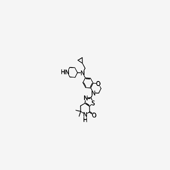 CC1(C)Cc2nc(N3CCOc4cc(N(CC5CC5)C5CCNCC5)ccc43)sc2C(=O)N1